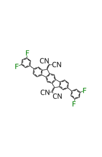 [C-]#[N+]/C(C#N)=C1/c2cc(-c3cc(F)cc(F)c3)ccc2-c2cc3c(cc21)-c1ccc(-c2cc(F)cc(F)c2)cc1/C3=C(/C#N)[N+]#[C-]